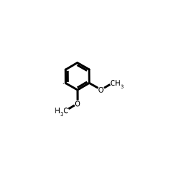 COc1[c]cccc1OC